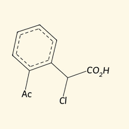 CC(=O)c1ccccc1C(Cl)C(=O)O